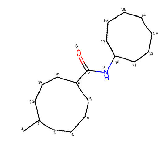 CC1CCCCC(C(=O)NC2CCCCCCC2)CCC1